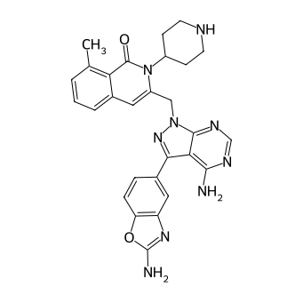 Cc1cccc2cc(Cn3nc(-c4ccc5oc(N)nc5c4)c4c(N)ncnc43)n(C3CCNCC3)c(=O)c12